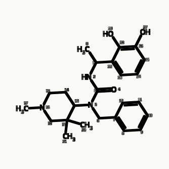 CC(NC(=O)N(Cc1ccccc1)C1CCN(C)CC1(C)C)c1cccc(O)c1O